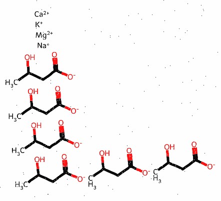 CC(O)CC(=O)[O-].CC(O)CC(=O)[O-].CC(O)CC(=O)[O-].CC(O)CC(=O)[O-].CC(O)CC(=O)[O-].CC(O)CC(=O)[O-].[Ca+2].[K+].[Mg+2].[Na+]